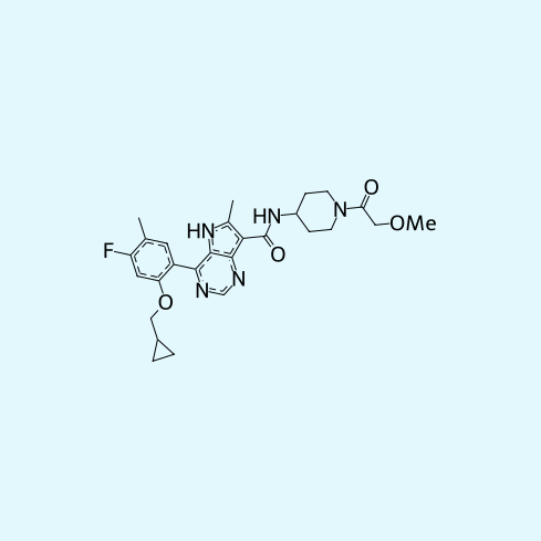 COCC(=O)N1CCC(NC(=O)c2c(C)[nH]c3c(-c4cc(C)c(F)cc4OCC4CC4)ncnc23)CC1